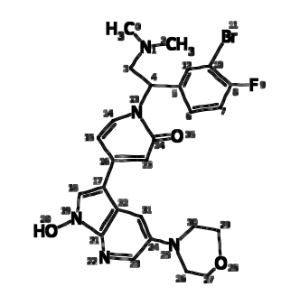 CN(C)CC(c1ccc(F)c(Br)c1)n1ccc(-c2cn(O)c3ncc(N4CCOCC4)cc23)cc1=O